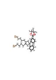 CC1(C)OB(c2ccc3c(c2)C(CCCCCCBr)(CCCCCCBr)c2ccccc2-3)OC1(C)C